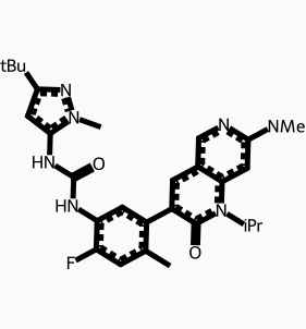 CNc1cc2c(cn1)cc(-c1cc(NC(=O)Nc3cc(C(C)(C)C)nn3C)c(F)cc1C)c(=O)n2C(C)C